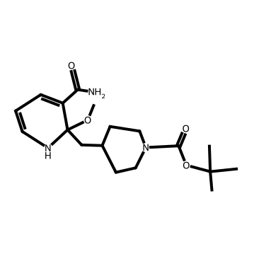 COC1(CC2CCN(C(=O)OC(C)(C)C)CC2)NC=CC=C1C(N)=O